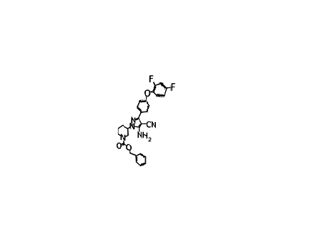 N#Cc1c(-c2ccc(Oc3ccc(F)cc3F)cc2)nn(C2CCCN(C(=O)OCc3ccccc3)C2)c1N